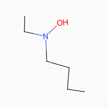 CCCCN(O)CC